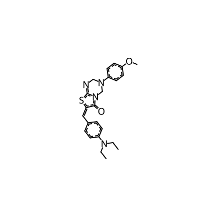 CCN(CC)c1ccc(/C=c2/sc3n(c2=O)CN(c2ccc(OC)cc2)CN=3)cc1